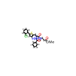 COC(=O)CCNC(=O)/C(=C/c1ccc(-c2ccccc2Cl)s1)NC(=O)c1ccccc1